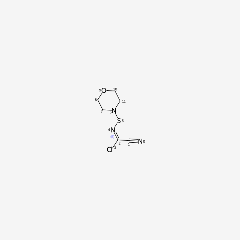 N#C/C(Cl)=N\SN1CCOCC1